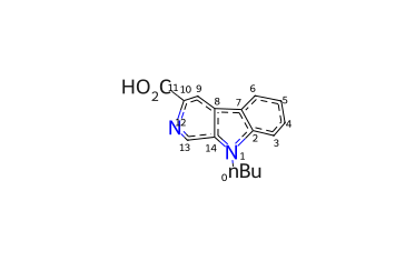 CCCCn1c2ccccc2c2cc(C(=O)O)ncc21